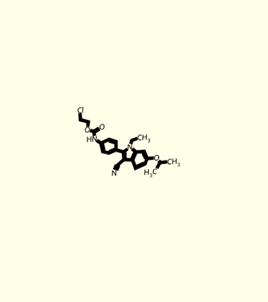 CCn1c(-c2ccc(NC(=O)OCCCl)cc2)c(C#N)c2ccc(OC(C)C)cc21